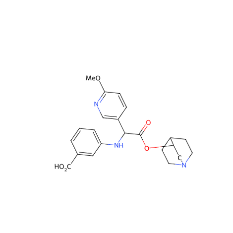 COc1ccc(C(Nc2cccc(C(=O)O)c2)C(=O)OC2CN3CCC2CC3)cn1